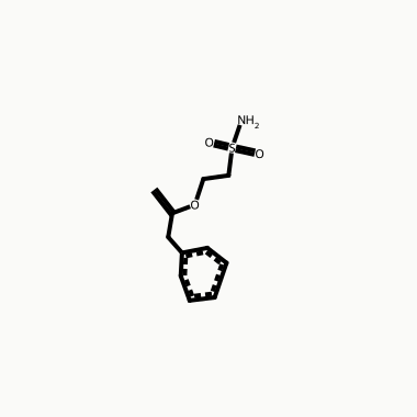 C=C(Cc1ccccc1)OCCS(N)(=O)=O